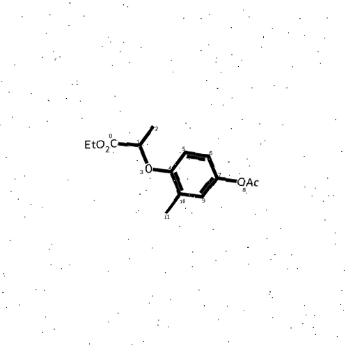 CCOC(=O)C(C)Oc1ccc(OC(C)=O)cc1C